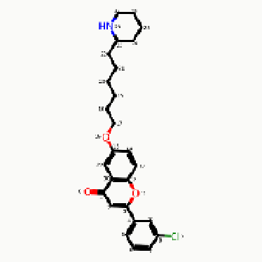 O=c1cc(-c2cccc(Cl)c2)oc2ccc(OCCCCCCC3CCCCN3)cc12